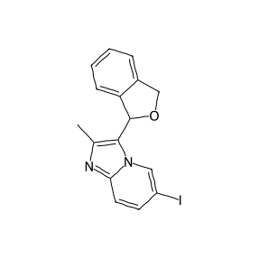 Cc1nc2ccc(I)cn2c1C1OCc2ccccc21